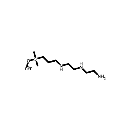 CCCO[Si](C)(C)CCCNCCNCCN